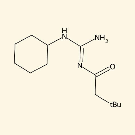 CC(C)(C)CC(=O)N=C(N)NC1CCCCC1